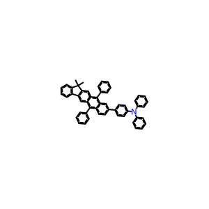 CC1(C)c2ccccc2-c2cc3c(-c4ccccc4)c4ccc(-c5ccc(N(c6ccccc6)c6ccccc6)cc5)cc4c(-c4ccccc4)c3cc21